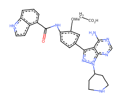 CC(=O)O.COc1cc(-c2nn(C3CCNCC3)c3ncnc(N)c23)ccc1NC(=O)c1cccc2[nH]ccc12